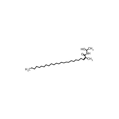 CCCCCCCCCCCCCCCCCCCCCCC=C(C)C(=O)NC(C)O